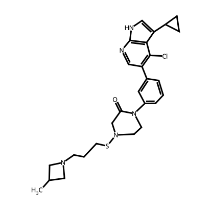 CC1CN(CCCSN2CCN(c3cccc(-c4cnc5[nH]cc(C6CC6)c5c4Cl)c3)C(=O)C2)C1